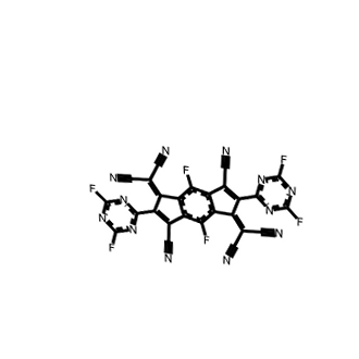 N#CC(C#N)=C1C(c2nc(F)nc(F)n2)=C(C#N)c2c(F)c3c(c(F)c21)C(C#N)=C(c1nc(F)nc(F)n1)C3=C(C#N)C#N